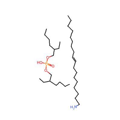 CCCCC(CC)COP(=O)(O)OCC(CC)CCCC.CCCCCCCCC=CCCCCCCCCN